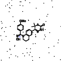 COc1ccc(/C(=N/O)N2CCCc3cc(C4=NNC(=O)SC4(C)C)ccc32)cc1